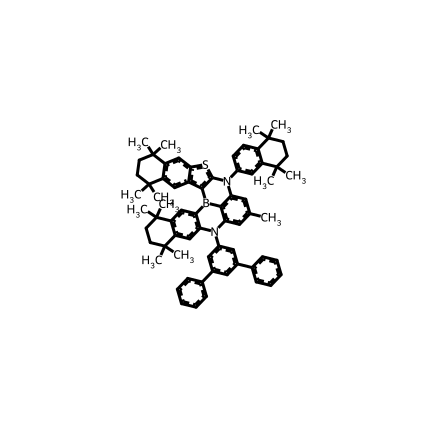 Cc1cc2c3c(c1)N(c1ccc4c(c1)C(C)(C)CCC4(C)C)c1sc4cc5c(cc4c1B3c1cc3c(cc1N2c1cc(-c2ccccc2)cc(-c2ccccc2)c1)C(C)(C)CCC3(C)C)C(C)(C)CCC5(C)C